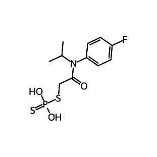 CC(C)N(C(=O)CSP(O)(O)=S)c1ccc(F)cc1